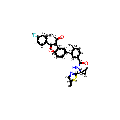 CNC(=O)c1c(-c2ccc(F)cc2)oc2ccc(-c3cc(C(=O)NC4(c5ncc(C)s5)CC4)ccc3C)cc12